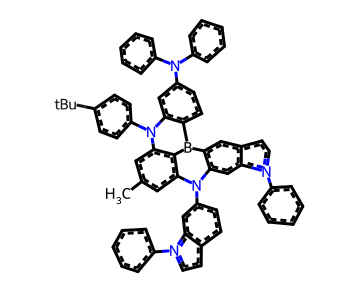 Cc1cc2c3c(c1)N(c1ccc4ccn(-c5ccccc5)c4c1)c1cc4c(ccn4-c4ccccc4)cc1B3c1ccc(N(c3ccccc3)c3ccccc3)cc1N2c1ccc(C(C)(C)C)cc1